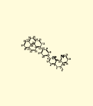 CC1Cc2ccc(-c3ccc(-c4ccc5ccc6cccc7ccc4c5c67)cc3)nc2-c2ncccc21